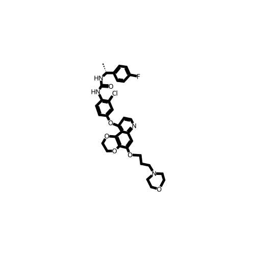 C[C@@H](NC(=O)Nc1ccc(Oc2ccnc3cc(OCCCN4CCOCC4)c4c(c23)OCCO4)cc1Cl)c1ccc(F)cc1